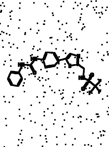 O=C(Nc1ccccc1)Nc1ccc(-c2cnc(CNS(=O)(=O)C(F)(F)F)s2)cc1